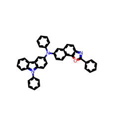 c1ccc(-c2nc3ccc4cc(N(c5ccccc5)c5ccc6c(c5)c5ccccc5n6-c5ccccc5)ccc4c3o2)cc1